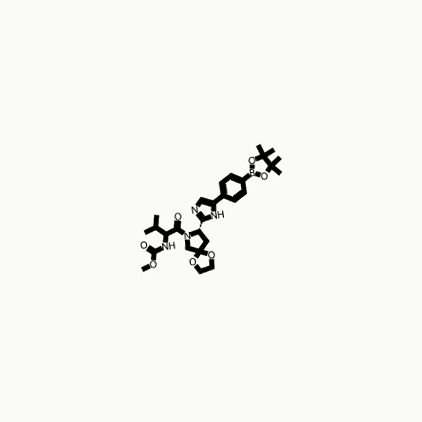 COC(=O)NC(C(=O)N1CC2(C[C@H]1c1ncc(-c3ccc(B4OC(C)(C)C(C)(C)O4)cc3)[nH]1)OCCO2)C(C)C